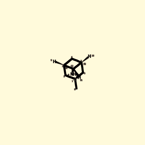 CN1C[C@H]2C[C@@H](C1)[C@@H]2N